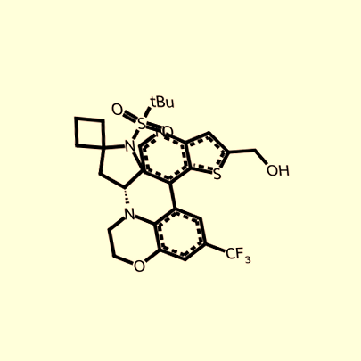 CC(C)(C)S(=O)(=O)N1C[C@H](N2CCOc3cc(C(F)(F)F)cc(-c4ccnc5cc(CO)sc45)c32)CC12CCC2